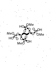 COP(=O)(O)ON(CCN(OP(=O)(O)OC)OP(=O)(O)OC)OP(=O)(O)OC